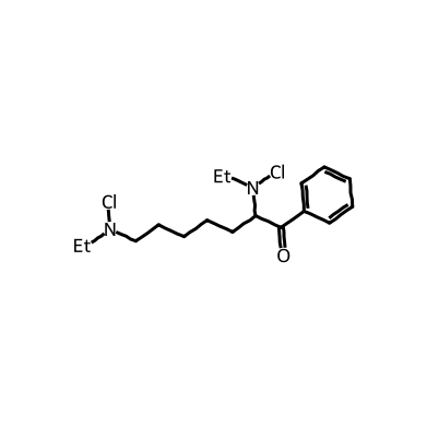 CCN(Cl)CCCCCC(C(=O)c1ccccc1)N(Cl)CC